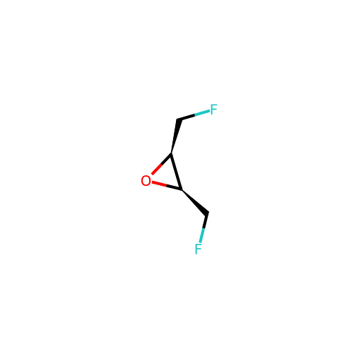 FC[C@@H]1O[C@@H]1CF